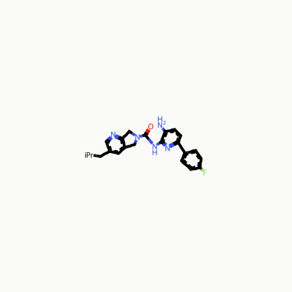 CC(C)Cc1cnc2c(c1)CN(C(=O)Nc1nc(-c3ccc(F)cc3)ccc1N)C2